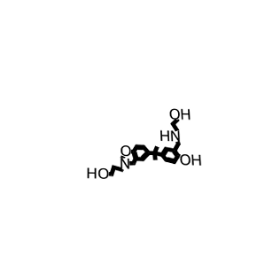 CC(C)(c1ccc(O)c(CNCCCO)c1)c1ccc2c(c1)CN(CCCO)CO2